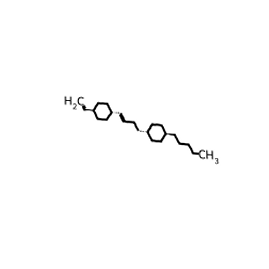 C=C[C@H]1CC[C@H](/C=C/CC[C@H]2CC[C@H](CCCCC)CC2)CC1